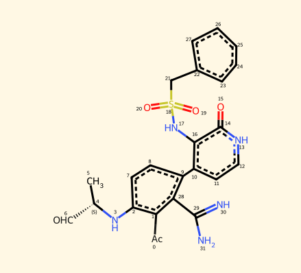 CC(=O)c1c(N[C@@H](C)C=O)ccc(-c2cc[nH]c(=O)c2NS(=O)(=O)Cc2ccccc2)c1C(=N)N